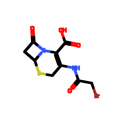 O=C(CBr)NC1=C(C(=O)O)N2C(=O)CC2SC1